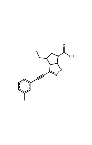 CCC1CN(C(=O)O)C2ON=C(C#Cc3cccc(C)c3)C12